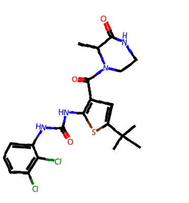 CC1C(=O)NCCN1C(=O)c1cc(C(C)(C)C)sc1NC(=O)Nc1cccc(Cl)c1Cl